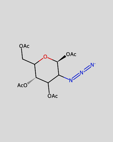 CC(=O)OCC1O[C@@H](OC(C)=O)C(N=[N+]=[N-])C(OC(C)=O)[C@@H]1OC(C)=O